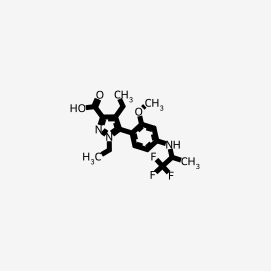 CCc1c(C(=O)O)nn(CC)c1-c1ccc(NC(C)C(F)(F)F)cc1OC